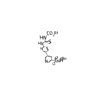 CCOC(=O)NC(=S)Nc1ccc(-c2cncc(S(=O)(=O)NC(C)(C)C)c2)cn1